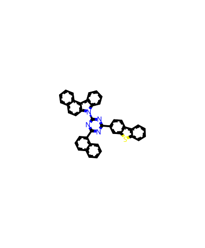 c1ccc2c(-c3nc(-c4ccc5c(c4)sc4ccccc45)nc(-n4c5ccccc5c5c6ccccc6ccc54)n3)cccc2c1